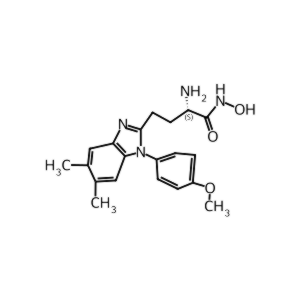 COc1ccc(-n2c(CC[C@H](N)C(=O)NO)nc3cc(C)c(C)cc32)cc1